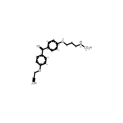 C#CCOc1ccc(C(=O)c2ccc(OCCCNC(=O)O)cc2)cc1